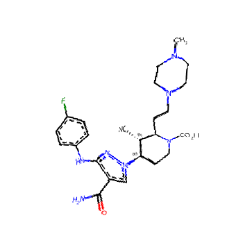 CN1CCN(CCC2[C@@H](C#N)[C@H](n3cc(C(N)=O)c(Nc4ccc(F)cc4)n3)CCN2C(=O)O)CC1